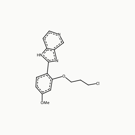 COc1ccc(-c2nc3cnccc3[nH]2)c(OCCCCl)c1